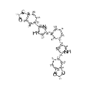 c1cc(-c2c[nH]c(-c3ccc4c(c3)OCO4)n2)cc(-c2c[nH]c(-c3ccc4c(c3)OCO4)n2)c1